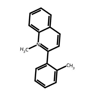 Cc1ccccc1-c1ccc2ccccc2[n+]1C